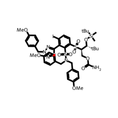 COc1ccc(CN(Cc2ccc(OC)cc2)S(=O)(=O)c2c(S(=O)(=O)[C@H](COC(N)=O)[C@H](O[Si](C)(C)C(C)(C)C)C(C)(C)C)ccc(I)c2-c2nnn(Cc3ccc(OC)cc3)n2)cc1